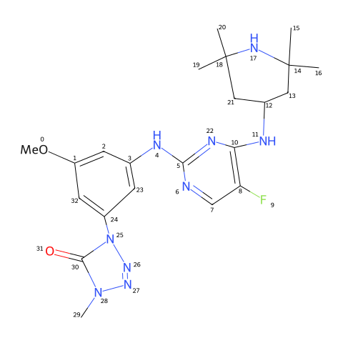 COc1cc(Nc2ncc(F)c(NC3CC(C)(C)NC(C)(C)C3)n2)cc(-n2nnn(C)c2=O)c1